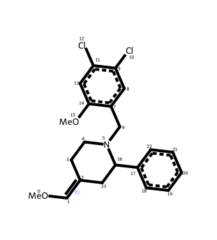 CO/C=C1\CCN(Cc2cc(Cl)c(Cl)cc2OC)C(c2ccccc2)C1